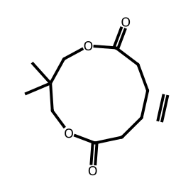 C=C.CC1(C)COC(=O)CCCCC(=O)OC1